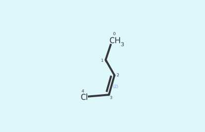 C[CH]/C=C\Cl